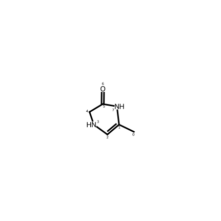 CC1=CNCC(=O)N1